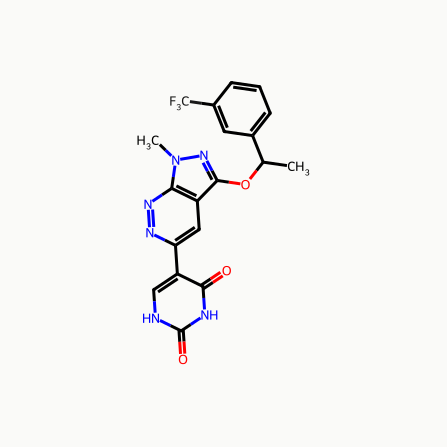 CC(Oc1nn(C)c2nnc(-c3c[nH]c(=O)[nH]c3=O)cc12)c1cccc(C(F)(F)F)c1